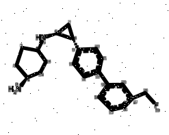 N[C@H]1CC[C@@H](N[C@H]2C[C@@H]2c2ccc(-c3cccc(CF)c3)cc2)CC1